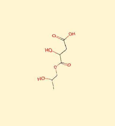 CC(O)COC(=O)C(O)CC(=O)O